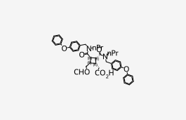 CCCN(Cc1ccc(Oc2ccccc2)cc1)C(=O)[C@@H]1[C@H](CC=O)[C@@H](CC(=O)O)[C@H]1C(=O)N(CCC)Cc1ccc(Oc2ccccc2)cc1